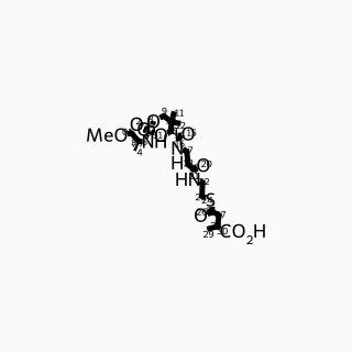 COC(=O)[C@H](C)NP1(=O)OCC(C)(C)[C@H](C(=O)NCCC(=O)NCCSC(=O)CC(C)C(=O)O)O1